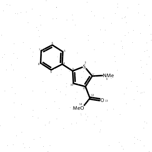 CNc1sc(-c2ccccc2)cc1C(=O)OC